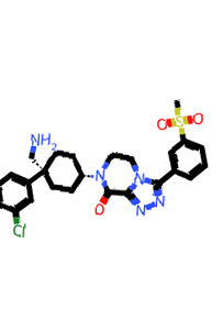 CS(=O)(=O)c1cccc(-c2nnc3n2CCN([C@H]2CC[C@](CN)(c4cccc(Cl)c4)CC2)C3=O)c1